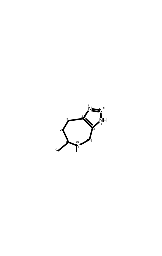 CC1CCc2nn[nH]c2CN1